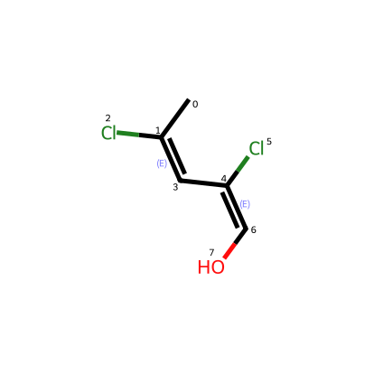 C/C(Cl)=C\C(Cl)=C/O